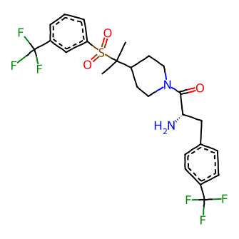 CC(C)(C1CCN(C(=O)[C@@H](N)Cc2ccc(C(F)(F)F)cc2)CC1)S(=O)(=O)c1cccc(C(F)(F)F)c1